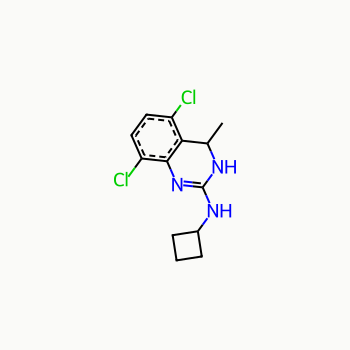 CC1NC(NC2CCC2)=Nc2c(Cl)ccc(Cl)c21